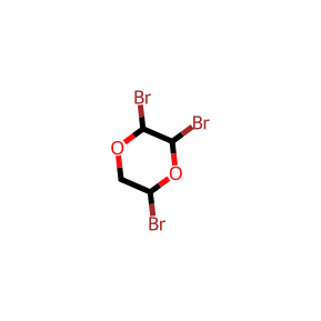 BrC1COC(Br)C(Br)O1